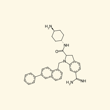 N=C(N)c1ccc2c(c1)N(Cc1cccc3cc(-c4ccccc4)ccc13)C(C(=O)N[C@H]1CC[C@H](N)CC1)C2